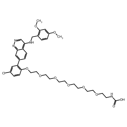 COc1ccc(CNc2cnnc3cc(-c4cc(Cl)ccc4OCCOCCOCCOCCOCCOCCNC(=O)O)ccc23)c(OC)c1